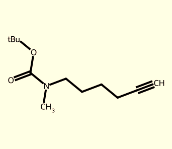 C#CCCCCN(C)C(=O)OC(C)(C)C